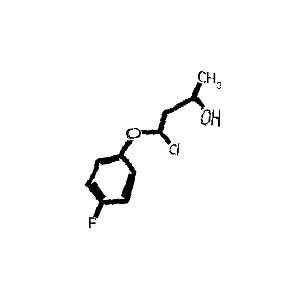 CC(O)CC(Cl)Oc1ccc(F)cc1